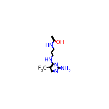 C=C(O)NCCCNc1nc(N)ncc1C(F)(F)F